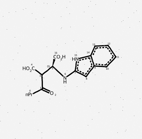 CCCC(=O)C(C(=O)O)[C@H](Nc1cc2ccccc2[nH]1)C(=O)O